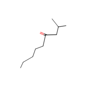 CCCCCC(=O)C[C](C)C